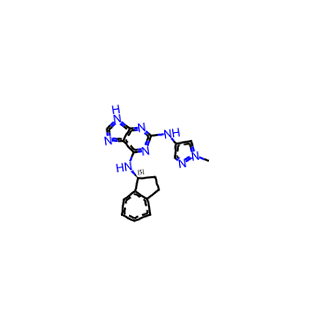 Cn1cc(Nc2nc(N[C@H]3CCc4ccccc43)c3nc[nH]c3n2)cn1